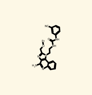 CCOCc1nc2c(N)nc3ccccc3c2n1CCNC(=O)Nc1cccc(C#N)c1